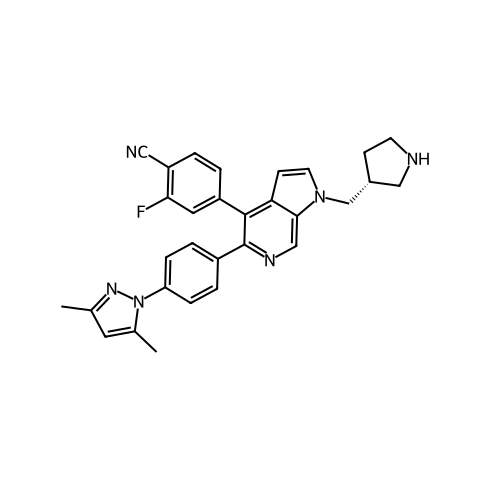 Cc1cc(C)n(-c2ccc(-c3ncc4c(ccn4C[C@@H]4CCNC4)c3-c3ccc(C#N)c(F)c3)cc2)n1